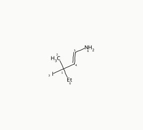 CCC(C)(I)C=CN